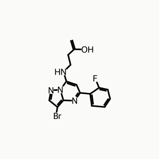 C=C(O)CCNc1cc(-c2ccccc2F)nc2c(Br)cnn12